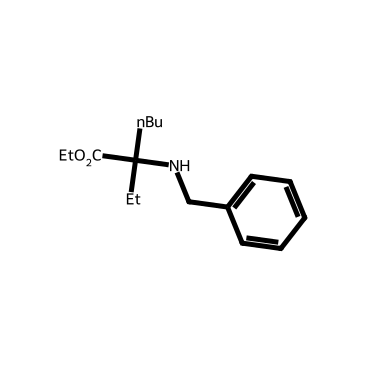 CCCCC(CC)(NCc1ccccc1)C(=O)OCC